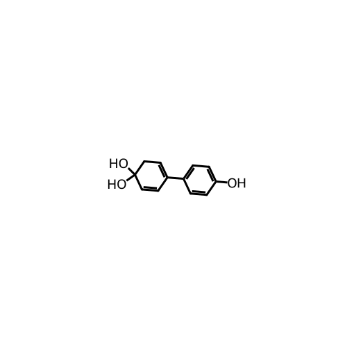 Oc1ccc(C2=CCC(O)(O)C=C2)cc1